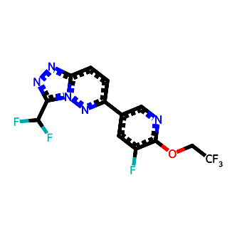 Fc1cc(-c2ccc3nnc(C(F)F)n3n2)cnc1OCC(F)(F)F